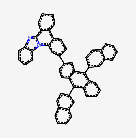 c1ccc2cc(-c3c4ccccc4c(-c4ccc5ccccc5c4)c4cc(-c5ccc6c7ccccc7c7nc8ccccc8n7c6c5)ccc34)ccc2c1